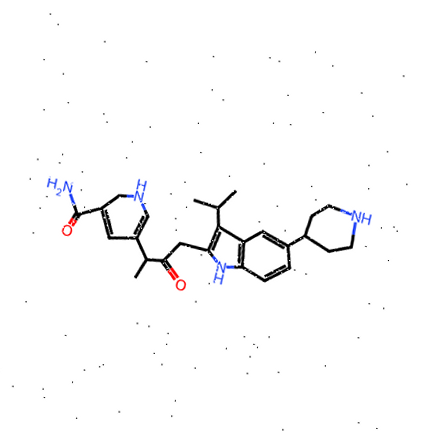 CC(C(=O)Cc1[nH]c2ccc(C3CCNCC3)cc2c1C(C)C)C1=CNCC(C(N)=O)=C1